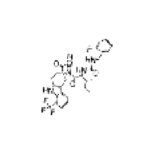 CCC(C)C(NC(=O)NCc1ccccc1F)C(=O)N[C@]1(C(=O)O)CCc2[nH]c3c(C(F)(F)F)cccc3c2C1